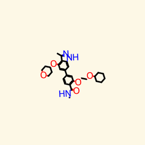 CNC(=O)c1ccc(-c2cc(OC3CCOCC3)c3c(C)n[nH]c3c2)cc1OCCOC1CCCCC1